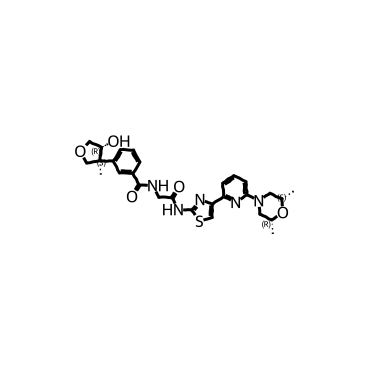 C[C@@H]1CN(c2cccc(-c3csc(NC(=O)CNC(=O)c4cccc([C@@]5(C)COC[C@@H]5O)c4)n3)n2)C[C@H](C)O1